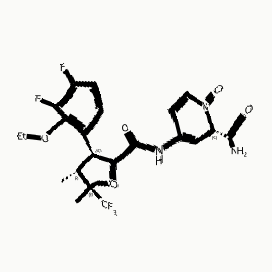 CCOc1c([C@H]2C(C(=O)NC3=C[C@@H](C(N)=O)[N+](=O)C=C3)O[C@@](C)(C(F)(F)F)[C@@H]2C)ccc(F)c1F